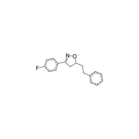 Fc1ccc(C2=NOC(CCc3ccccc3)C2)cc1